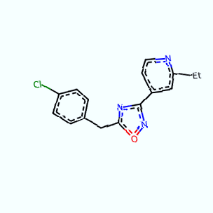 CCc1cc(-c2noc(Cc3ccc(Cl)cc3)n2)ccn1